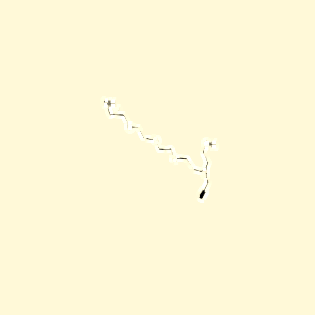 C#CCN(CCO)CCOCCOCCOCCN